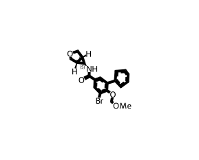 COCOc1c(Br)cc(C(=O)N[C@@H]2[C@@H]3COC[C@@H]32)cc1-c1ccccc1